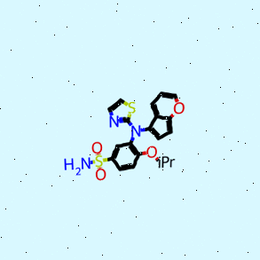 CC(C)Oc1ccc(S(N)(=O)=O)cc1N(c1nccs1)c1ccc2occcc1-2